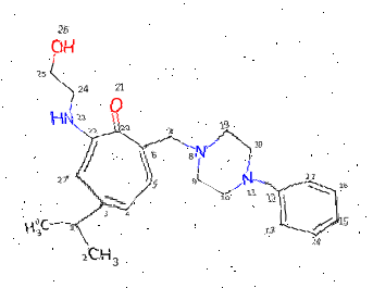 CC(C)c1ccc(CN2CCN(c3ccccc3)CC2)c(=O)c(NCCO)c1